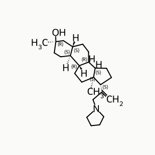 C=C(CN1CCCC1)[C@H]1CC[C@H]2[C@@H]3CC[C@H]4C[C@](C)(O)CC[C@@H]4[C@H]3CC[C@]12C